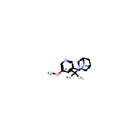 COc1cncc(CN2C3CC2CN(C(C)(C)C)C3)c1